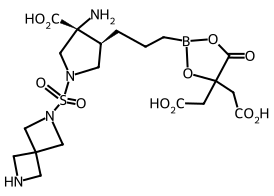 N[C@@]1(C(=O)O)CN(S(=O)(=O)N2CC3(CNC3)C2)C[C@@H]1CCCB1OC(=O)C(CC(=O)O)(CC(=O)O)O1